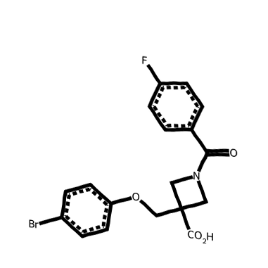 O=C(c1ccc(F)cc1)N1CC(COc2ccc(Br)cc2)(C(=O)O)C1